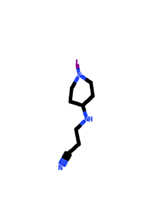 N#CCCNC1CCN(I)CC1